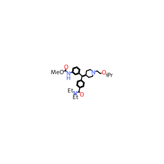 CCN(CC)C(=O)c1ccc(C(=C2CCN(CCOC(C)C)CC2)c2cccc(NC(=O)OC)c2)cc1